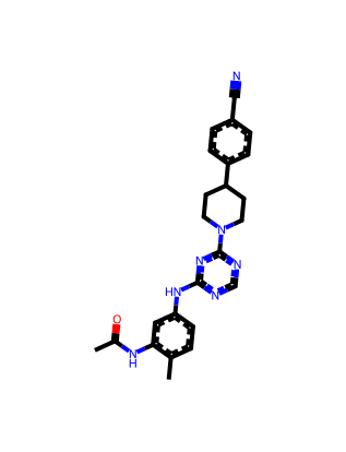 CC(=O)Nc1cc(Nc2ncnc(N3CCC(c4ccc(C#N)cc4)CC3)n2)ccc1C